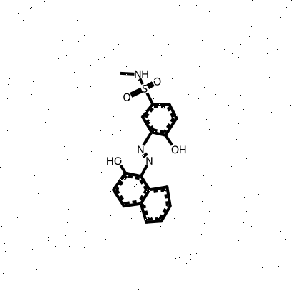 CNS(=O)(=O)c1ccc(O)c(N=Nc2c(O)ccc3ccccc23)c1